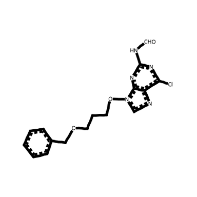 O=CNc1nc(Cl)c2ncn(OCCCOCc3ccccc3)c2n1